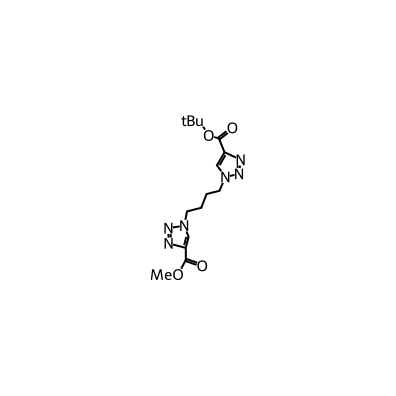 COC(=O)c1cn(CCCCn2cc(C(=O)OC(C)(C)C)nn2)nn1